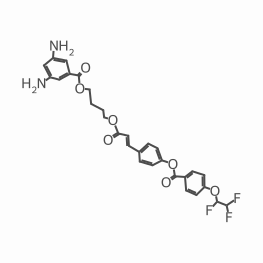 Nc1cc(N)cc(C(=O)OCCCCOC(=O)C=Cc2ccc(OC(=O)c3ccc(OC(F)C(F)F)cc3)cc2)c1